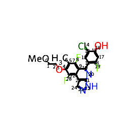 COCCOc1c(C)c(F)c2c(-c3cc(Cl)c(O)cc3F)nc3[nH]ncc3c2c1F